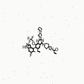 C=CC(=O)N1CC2(CCN(c3nc(N4CC(N5CCC5)C4)nc4c(OCC(F)(F)F)c(-c5c(C)c(F)cc6[nH]ncc56)c(C=C)cc34)CC2)C1